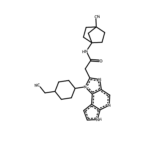 N#CCC1CCC(n2c(CC(=O)NC34CCC(C#N)(CC3)C4)nc3cnc4[nH]ccc4c32)CC1